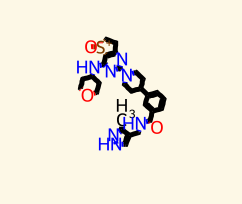 Cc1n[nH]cc1CNC(=O)c1cccc(C2CCN(c3nc4c(c(NC5CCOCC5)n3)[S+]([O-])CC4)CC2)c1